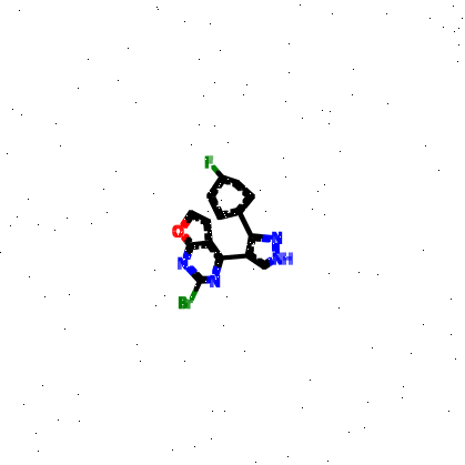 Fc1ccc(-c2n[nH]cc2-c2nc(Br)nc3occc23)cc1